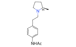 CC(=O)Nc1ccc(CCN2CCC[C@H]2C)cc1